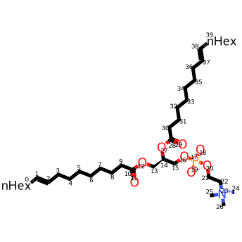 CCCCCC/C=C/CCCCCCCC(=O)OC[C@H](COP(=O)([O-])OCC[N+](C)(C)C)OC(=O)CCCCCCC/C=C/CCCCCC